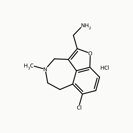 CN1CCc2c(Cl)ccc3oc(CN)c(c23)C1.Cl